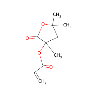 C=CC(=O)OC1(C)CC(C)(C)OC1=O